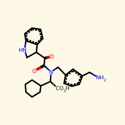 NCc1cccc(CN(C(=O)C(=O)C2CNc3ccccc32)C(C(=O)O)C2CCCCC2)c1